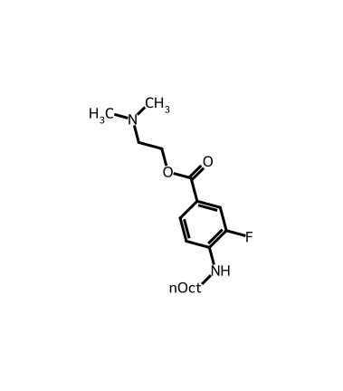 CCCCCCCCNc1ccc(C(=O)OCCN(C)C)cc1F